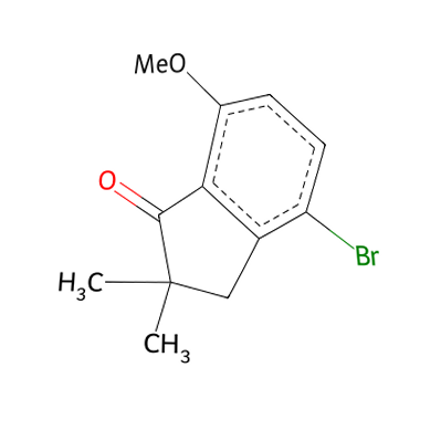 COc1ccc(Br)c2c1C(=O)C(C)(C)C2